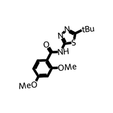 COc1ccc(C(=O)Nc2nnc(C(C)(C)C)s2)c(OC)c1